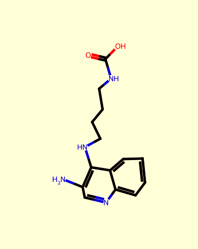 Nc1cnc2ccccc2c1NCCCCNC(=O)O